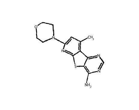 Cc1cc(N2CCOCC2)nc2sc3c(N)ncnc3c12